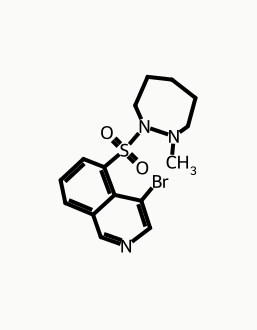 CN1CCCCCN1S(=O)(=O)c1cccc2cncc(Br)c12